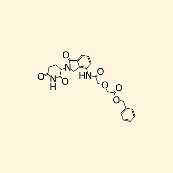 O=C1CCC(N2Cc3c(NC(=O)COCC(=O)OCc4ccccc4)cccc3C2=O)C(=O)N1